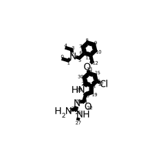 CCN(CC)Cc1ccccc1COc1cc(Cl)c2cc(C(=O)N=C(N)NC)[nH]c2c1